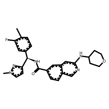 Cc1ccc([C@@H](NC(=O)c2ccc3cnc(NC4CCOCC4)cc3c2)c2ccn(C)n2)cc1F